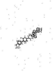 Cc1cc(C2=CCN(S(=O)(=O)CC(=O)NO)CC2)ccc1-c1ccc2c(c1)CCC2